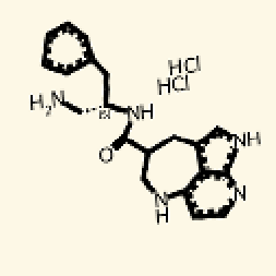 Cl.Cl.NC[C@H](Cc1ccccc1)NC(=O)C1CNc2ccnc3[nH]cc(c23)C1